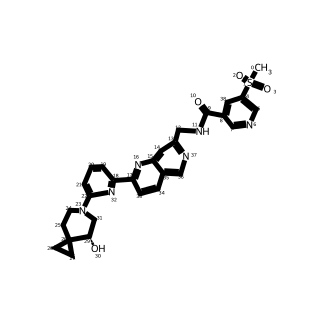 CS(=O)(=O)c1cncc(C(=O)NCc2cc3nc(-c4cccc(N5CCC6(CC6)[C@@H](O)C5)n4)ccc3cn2)c1